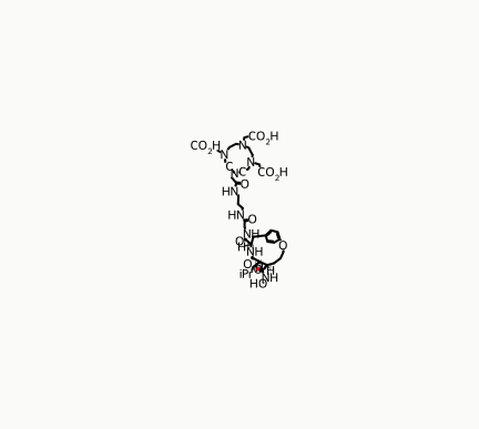 CC(C)C[C@H]1C(=O)N[C@H](C(=O)NCC(=O)NCCCNC(=O)CN2CCN(CC(=O)O)CCN(CC(=O)O)CCN(CC(=O)O)CC2)Cc2ccc(cc2)OCCC[C@@H]1C(=O)NO